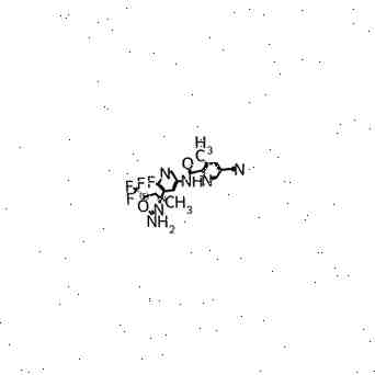 Cc1cc(C#N)cnc1C(=O)Nc1cnc(F)c([C@@]2(C)C[C@@H](C(F)(F)F)OC(N)=N2)c1